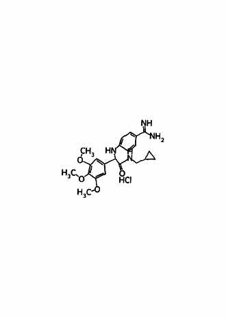 COc1cc(C(Nc2ccc(C(=N)N)cc2)C(=O)NCC2CC2)cc(OC)c1OC.Cl